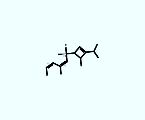 C/C=C\C(C)=C/[C@](C)(F)C1C=C(C(C)C)C1C